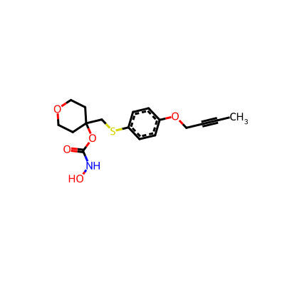 CC#CCOc1ccc(SCC2(OC(=O)NO)CCOCC2)cc1